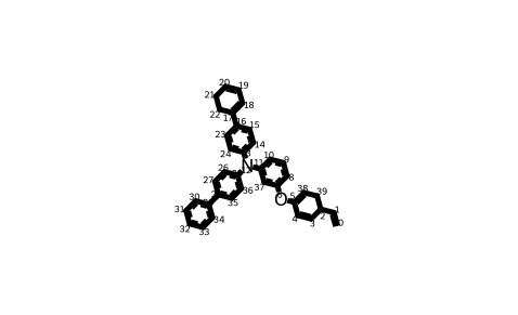 C=CC1C=CC(Oc2cccc(N(c3ccc(C4=CC=CCC4)cc3)c3ccc(-c4ccccc4)cc3)c2)=CC1